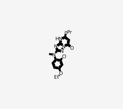 CCCc1cc(=O)n2nc(N(C)c3ccc(OCC)cc3Cl)nc2[nH]1